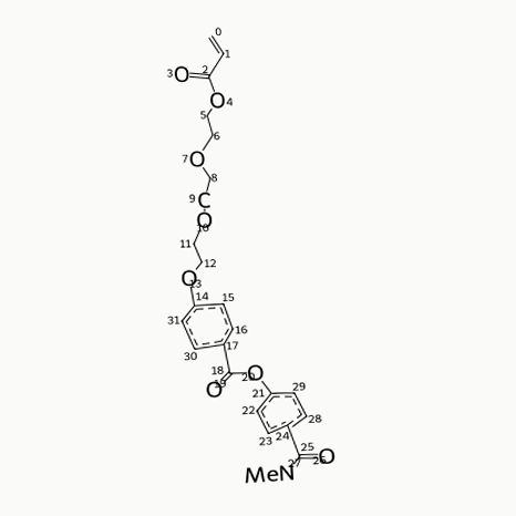 C=CC(=O)OCCOCCOCCOc1ccc(C(=O)Oc2ccc(C(=O)NC)cc2)cc1